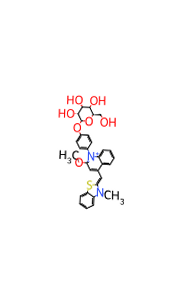 COc1cc(C=C2Sc3ccccc3N2C)c2ccccc2[n+]1-c1ccc(O[C@@H]2O[C@H](CO)[C@H](O)[C@H](O)[C@H]2O)cc1